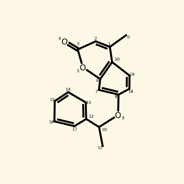 Cc1cc(=O)oc2cc(OC(C)c3ccccc3)ccc12